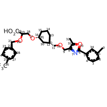 Cc1cccc(-c2nc(COC[C@H]3CCC[C@@H](OCC(OCc4ccc(C(F)(F)F)cc4)C(=O)O)C3)c(C)o2)c1